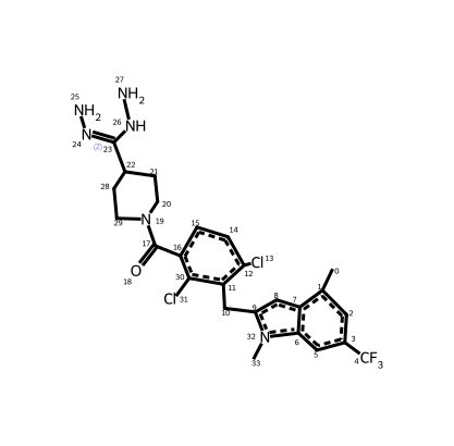 Cc1cc(C(F)(F)F)cc2c1cc(Cc1c(Cl)ccc(C(=O)N3CCC(/C(=N/N)NN)CC3)c1Cl)n2C